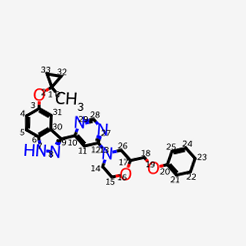 CC1(Oc2ccc3[nH]nc(-c4cc(N5CCOC(COC6=CCCC=C6)C5)ncn4)c3c2)CC1